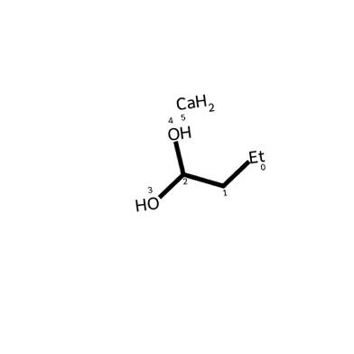 CCCC(O)O.[CaH2]